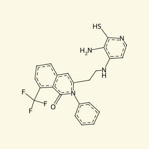 Nc1c(NCCc2cc3cccc(C(F)(F)F)c3c(=O)n2-c2ccccc2)ccnc1S